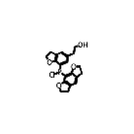 OCCc1cc2c(c(P(Cl)c3c4c(cc5c3OCC5)CCO4)c1)OCC2